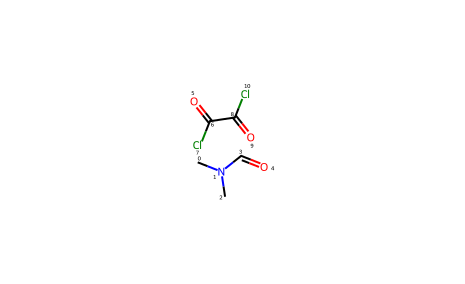 CN(C)C=O.O=C(Cl)C(=O)Cl